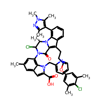 Cc1cc(N2C(=O)c3c(CCCOc4cc(C)c(Cl)c(C)c4)c4cccc(-c5c(C)nn(C)c5C)c4n3[C@H](C)C2Cl)c2c(c1)cc(C(=O)O)n2Cc1ccccn1